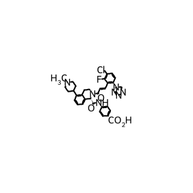 CN1CCC(c2cccc3c2CCN(C(=O)/C=C/c2c(-n4cnnn4)ccc(Cl)c2F)[C@@H]3C(=O)Nc2ccc(C(=O)O)cc2)CC1